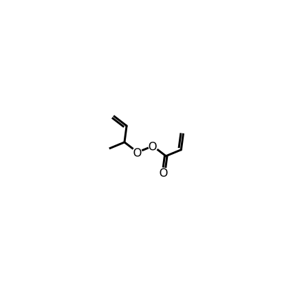 C=CC(=O)OOC(C)C=C